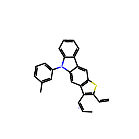 C=Cc1sc2cc3c4ccccc4n(-c4cccc(C)c4)c3cc2c1/C=C\C